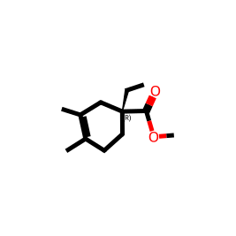 CC[C@@]1(C(=O)OC)CCC(C)=C(C)C1